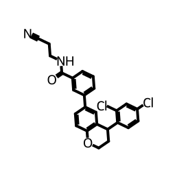 N#CCCNC(=O)c1cccc(-c2ccc3c(c2)C(c2ccc(Cl)cc2Cl)CCO3)c1